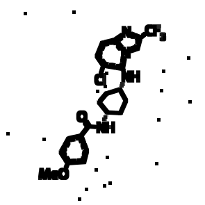 COc1ccc(C(=O)N[C@H]2CC[C@@H](Nc3c(Cl)ccc4nc(C(F)(F)F)cn34)CC2)cc1